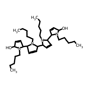 CCCCCN1C(O)C=CC1C1C=CC(C2C=CC(C3C=CC(O)N3CCCCC)N2CCCCC)N1CCCCC